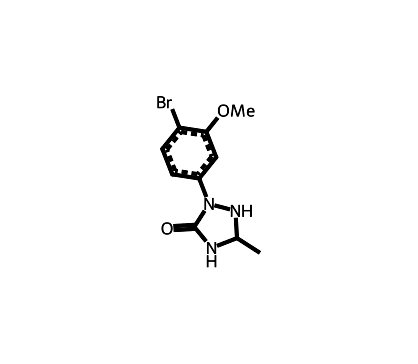 COc1cc(N2NC(C)NC2=O)ccc1Br